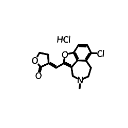 CN1CCc2c(Cl)ccc3oc(/C=C4\CCOC4=O)c(c23)C1.Cl